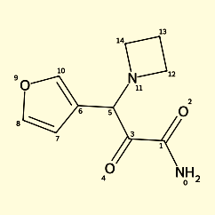 NC(=O)C(=O)C(c1ccoc1)N1CCC1